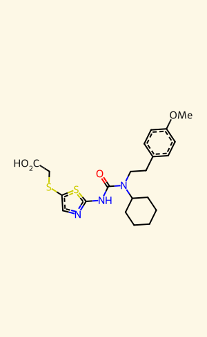 COc1ccc(CCN(C(=O)Nc2ncc(SCC(=O)O)s2)C2CCCCC2)cc1